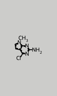 Cn1ccc2c(Cl)nc(N)nc21